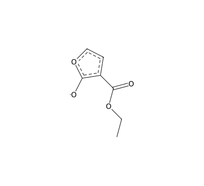 CCOC(=O)c1ccoc1[O]